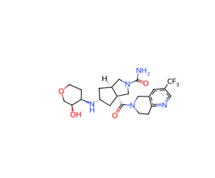 NC(=O)N1C[C@@H]2C[C@@H](N[C@@H]3CCOC[C@@H]3O)C[C@]2(C(=O)N2CCc3ncc(C(F)(F)F)cc3C2)C1